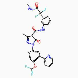 CNC(=O)C(F)(F)c1cccc(NC(=O)C2C(=O)N(c3ccc(OC(F)F)c(-c4ccccn4)c3)N=C2C)c1